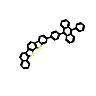 c1ccc(-c2c3ccccc3c(-c3ccc(-c4ccc5c(c4)sc4c5ccc5c6ccc7ccccc7c6sc54)cc3)c3ccccc23)cc1